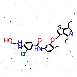 CCc1cnc(Cl)c2c(COc3cc(NC(=O)c4ccc(NCCO)c(Cl)c4)ccc3C)csc12